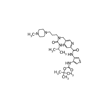 CC(C)NC(=O)N(CCCN1CCN(C)CC1)Cc1ccc(C(=O)Nc2cscc2NC(=O)OC(C)(C)C)nc1